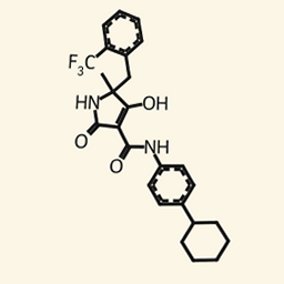 CC1(Cc2ccccc2C(F)(F)F)NC(=O)C(C(=O)Nc2ccc(C3CCCCC3)cc2)=C1O